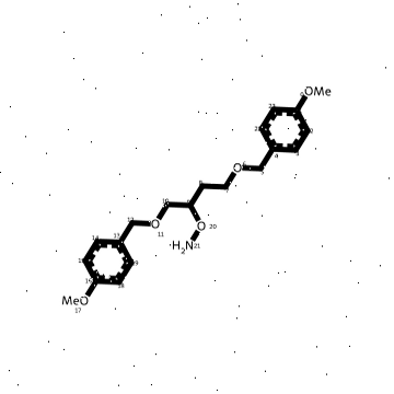 COc1ccc(COCCC(COCc2ccc(OC)cc2)ON)cc1